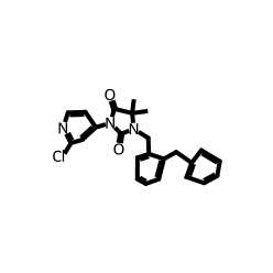 CC1(C)C(=O)N(c2ccnc(Cl)c2)C(=O)N1Cc1ccccc1Cc1ccccc1